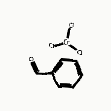 O=Cc1ccccc1.[Cl][Cr]([Cl])[Cl]